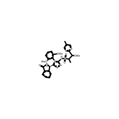 COc1cccc(OC)c1-n1c(NS(=O)(=O)C(C)C(OC)c2ncc(C)cn2)nnc1[C@@H]1NC(=O)c2ccccc21